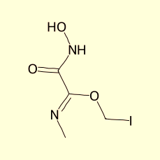 C/N=C(\OCI)C(=O)NO